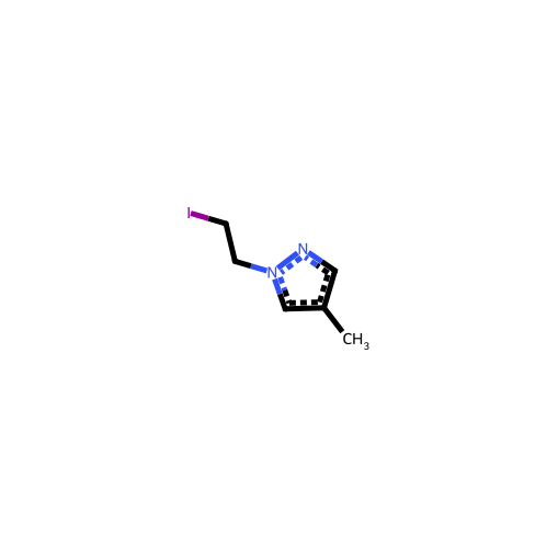 Cc1cnn(CCI)c1